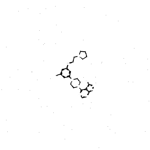 Clc1cc(NCCN2CCCC2)cc(N2CCN(c3ncnc4[nH]nc(Br)c34)CC2)c1